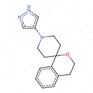 c1ccc2c(c1)CCOC21CCN(c2cn[nH]c2)CC1